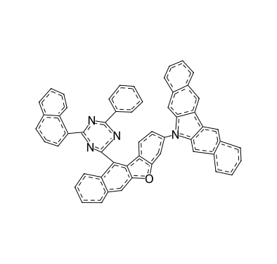 c1ccc(-c2nc(-c3cccc4ccccc34)nc(-c3c4ccccc4cc4oc5cc(-n6c7cc8ccccc8cc7c7cc8ccccc8cc76)ccc5c34)n2)cc1